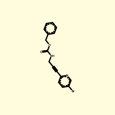 O=C(NCC#Cc1ccc(Br)cn1)OCc1ccccc1